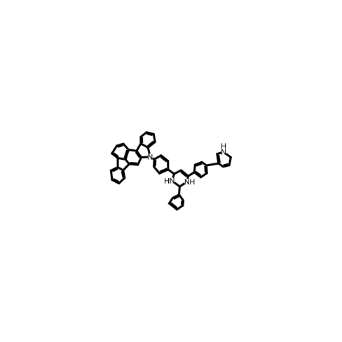 C1=CC(c2ccc(C3=CC(c4ccc(-n5c6ccccc6c6c7cccc8c7c(cc65)-c5ccccc5-8)cc4)NC(c4ccccc4)N3)cc2)=CNC1